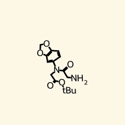 CC(C)(C)OC(=O)CN(C(=O)CN)c1ccc2c(c1)OCO2